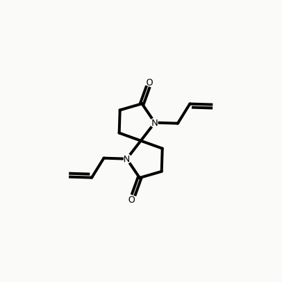 C=CCN1C(=O)CCC12CCC(=O)N2CC=C